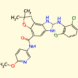 COc1ccc(NC(=O)c2cc3c(c4c2OC(C)(C)C4)NC(Nc2c(Cl)cccc2Cl)N3)cn1